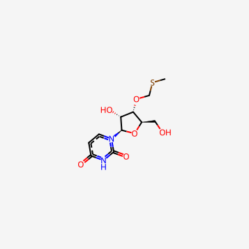 CSCO[C@H]1[C@@H](O)[C@H](n2ccc(=O)[nH]c2=O)O[C@@H]1CO